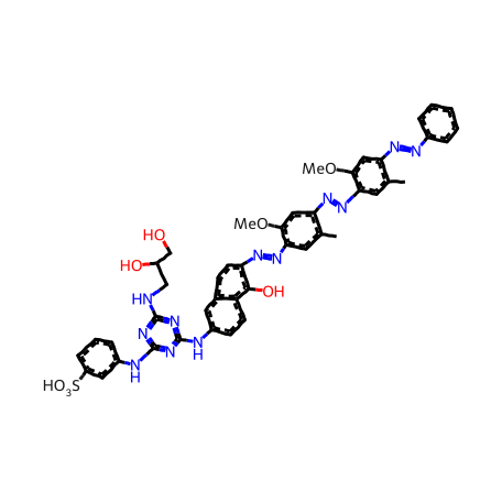 COc1cc(N=Nc2ccccc2)c(C)cc1N=Nc1cc(OC)c(N=Nc2ccc3cc(Nc4nc(NCC(O)CO)nc(Nc5cccc(S(=O)(=O)O)c5)n4)ccc3c2O)cc1C